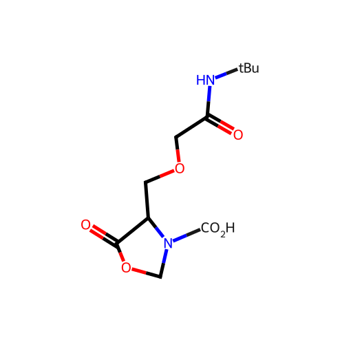 CC(C)(C)NC(=O)COCC1C(=O)OCN1C(=O)O